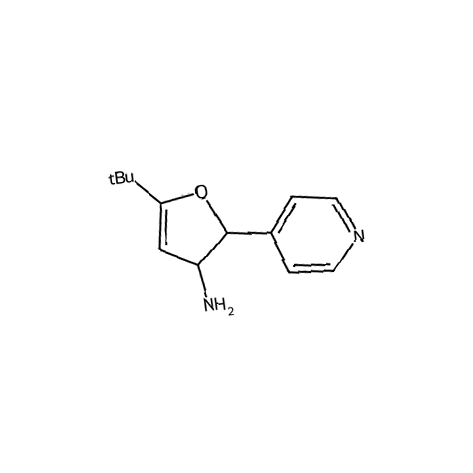 CC(C)(C)C1=CC(N)C(c2ccncc2)O1